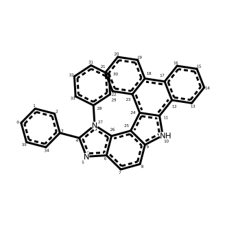 c1ccc(-c2nc3ccc4[nH]c5c6ccccc6c6ccccc6c5c4c3n2-c2ccccc2)cc1